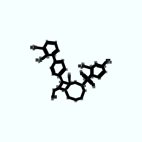 Cc1cccc(-c2ccc([C@@H]3C(CO)N4CCCCN(S(=O)(=O)c5ccc(C(F)(F)F)nc5C)C[C@@H]34)cc2)c1C